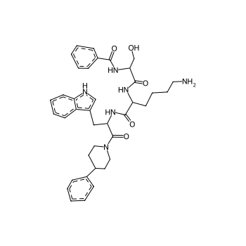 NCCCCC(NC(=O)C(CO)NC(=O)c1ccccc1)C(=O)NC(Cc1c[nH]c2ccccc12)C(=O)N1CCC(c2ccccc2)CC1